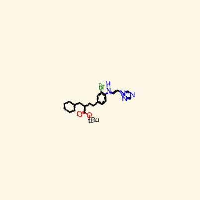 CC(C)(C)OC(=O)C(CCc1ccc(NCCn2cncn2)c(Br)c1)CC1CCCCC1